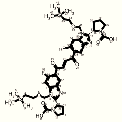 C[Si](C)(C)CCOCn1c([C@@H]2CCCN2C(=O)O)nc2cc(C(=O)C=CC(=O)c3cc4nc([C@@H]5CCCN5C(=O)O)n(COCC[Si](C)(C)C)c4cc3F)c(F)cc21